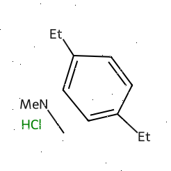 CCc1ccc(CC)cc1.CNC.Cl